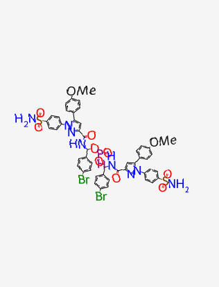 COc1ccc(-c2cc(C(=O)NC(O[PH](=O)OC(NC(=O)c3cc(-c4ccc(OC)cc4)n(-c4ccc(S(N)(=O)=O)cc4)n3)c3ccc(Br)cc3)c3ccc(Br)cc3)nn2-c2ccc(S(N)(=O)=O)cc2)cc1